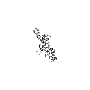 C=C(c1cn(-c2c(F)cc([N+](=O)[O-])cc2Cl)c(=O)c2ccc(-n3nc(COCc4ccccc4)n(CC)c3=O)cc12)C(F)(F)F